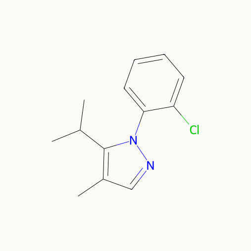 Cc1cnn(-c2ccccc2Cl)c1C(C)C